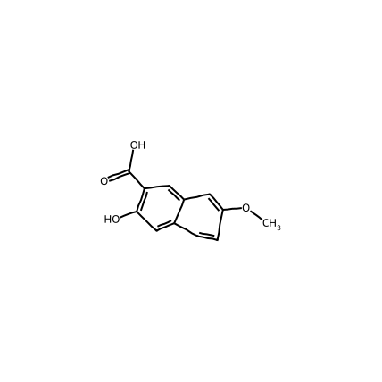 COc1ccc2cc(O)c(C(=O)O)cc2c1